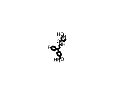 CNC(=O)c1ccc(C(CCNC(=O)c2ccnc(O)c2)c2ccc(F)cc2)cc1